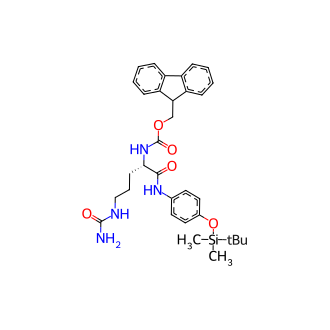 CC(C)(C)[Si](C)(C)Oc1ccc(NC(=O)[C@H](CCCNC(N)=O)NC(=O)OCC2c3ccccc3-c3ccccc32)cc1